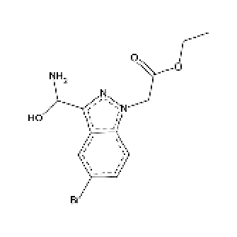 CCOC(=O)Cn1nc(C(N)O)c2cc(Br)ccc21